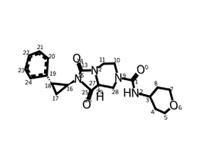 O=C(NC1CCOCC1)N1CCN2C(=O)N([C@H]3C[C@@H]3c3ccccc3)C(=O)[C@@H]2C1